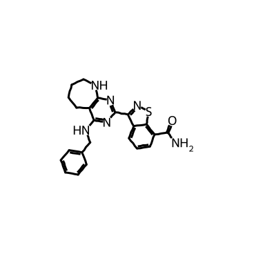 NC(=O)c1cccc2c(-c3nc4c(c(NCc5ccccc5)n3)CCCCN4)nsc12